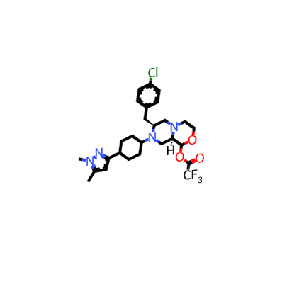 Cc1cc(C2CCC(N3C[C@@H]4C(OC(=O)C(F)(F)F)OCCN4C[C@@H]3Cc3ccc(Cl)cc3)CC2)nn1C